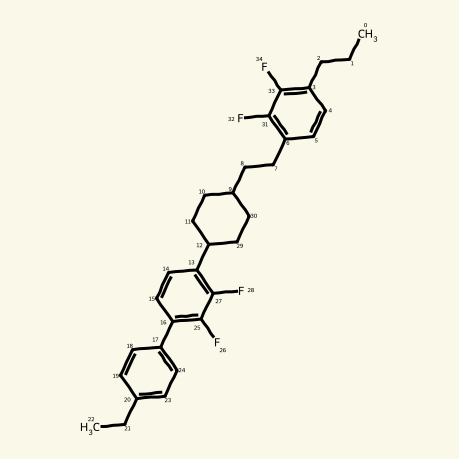 CCCc1ccc(CCC2CCC(c3ccc(-c4ccc(CC)cc4)c(F)c3F)CC2)c(F)c1F